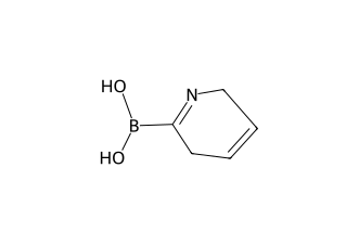 OB(O)C1=NCC=CC1